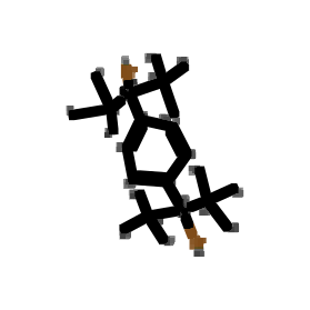 CC(C)(C)[Si](Br)(c1ccc([Si](Br)(C(C)(C)C)C(C)(C)C)cc1)C(C)(C)C